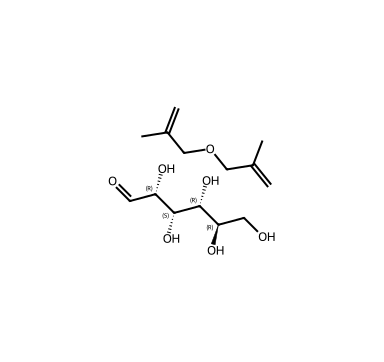 C=C(C)COCC(=C)C.O=C[C@H](O)[C@@H](O)[C@H](O)[C@H](O)CO